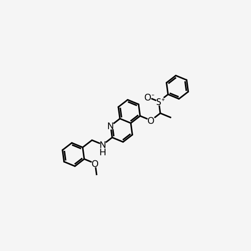 COc1ccccc1CNc1ccc2c(OC(C)[S+]([O-])c3ccccc3)cccc2n1